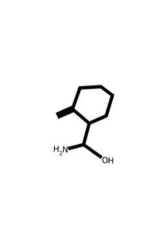 C=C1CCCCC1C(N)O